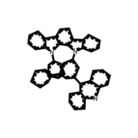 c1ccc(-c2cc(-c3c4ccccc4nc4ccccc34)cc(-n3c4ccccc4c4ccc5c6ccccc6n(-c6ccccc6)c5c43)c2)cc1